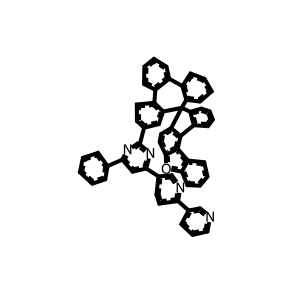 c1ccc(-c2cc(-c3ccc(-c4cccnc4)nc3)nc(-c3ccc4c(c3)C3(c5ccccc5-c5ccccc5-4)c4ccccc4-c4c3ccc3oc5ccccc5c43)n2)cc1